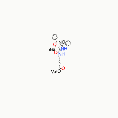 CC[C@H](C)C(OCc1ccccc1)C1C([N+](=O)[O-])[C@H](c2ccccc2)N[C@@H]1C(=O)NCCCCCC(=O)OC